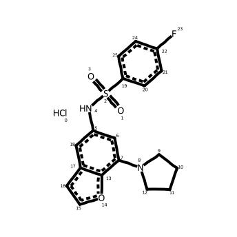 Cl.O=S(=O)(Nc1cc(N2CCCC2)c2occc2c1)c1ccc(F)cc1